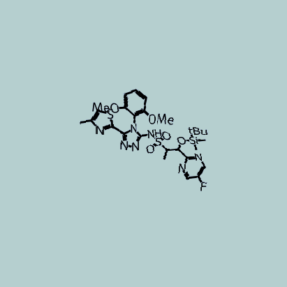 COc1cccc(OC)c1-n1c(NS(=O)(=O)C(C)C(O[Si](C)(C)C(C)(C)C)c2ncc(F)cn2)nnc1-c1nc(C)cs1